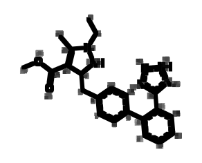 CCN1NC(Cc2ccc(-c3ccccc3-c3nn[nH]n3)cc2)C(C(=O)OC)=C1C